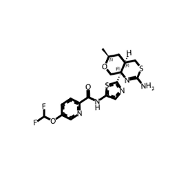 C[C@H]1C[C@H]2CSC(N)=N[C@@]2(c2ncc(NC(=O)c3ccc(OC(F)F)cn3)s2)CO1